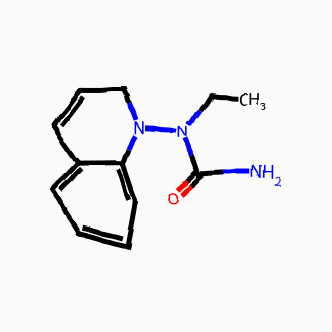 CCN(C(N)=O)N1CC=Cc2ccccc21